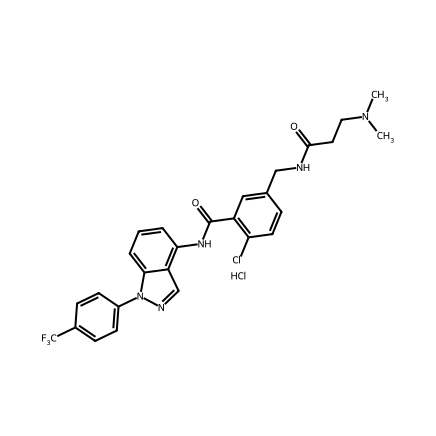 CN(C)CCC(=O)NCc1ccc(Cl)c(C(=O)Nc2cccc3c2cnn3-c2ccc(C(F)(F)F)cc2)c1.Cl